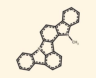 Cn1c2ccccc2c2ccc3c(c4cccc5c6ccccc6n3c54)c21